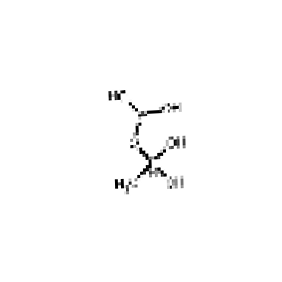 C[PH](O)(O)OP(O)O